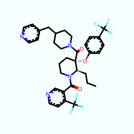 CCC[C@H]1N(C(=O)c2cnccc2C(F)(F)F)CCC[C@@]1(Oc1ccc(C(F)(F)F)cc1)C(=O)N1CCC(Cc2ccncc2)CC1